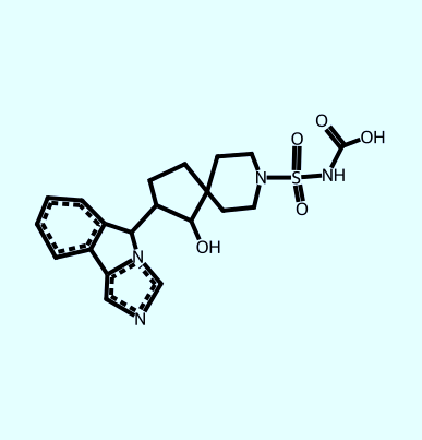 O=C(O)NS(=O)(=O)N1CCC2(CCC(C3c4ccccc4-c4cncn43)C2O)CC1